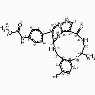 COC(=O)Nc1ccc(-c2cn3ncc4c3nc2NCc2cc(F)cnc2OC(C)CNC4=O)cc1